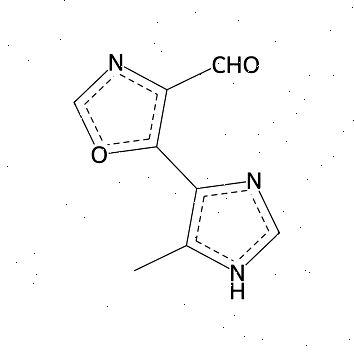 Cc1[nH]cnc1-c1ocnc1C=O